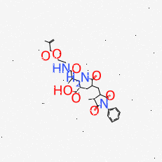 C=C(C)C(=O)OCCNC(=O)C(C)CC(CC(CC1C(=O)N(c2ccccc2)C(=O)C1C)C(N)=O)C(=O)O